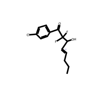 CCC/C=C/C(O)C(F)(F)C(=O)c1ccc(Cl)cc1